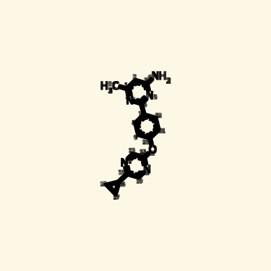 Cc1cc(N)nc(-c2ccc(Oc3cnc(C4CC4)cn3)cc2)n1